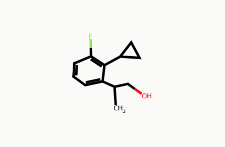 [CH2]C(CO)c1cccc(F)c1C1CC1